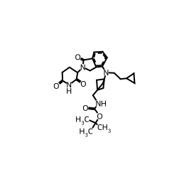 CC(C)(C)OC(=O)NCC12CC(N(CCC3CC3)c3cccc4c3CN(C3CCC(=O)NC3=O)C4=O)(C1)C2